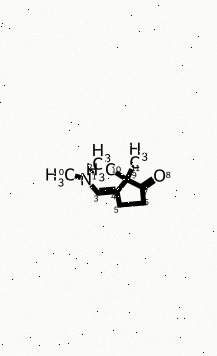 CN(C)C=C1CCC(=O)C1(C)C